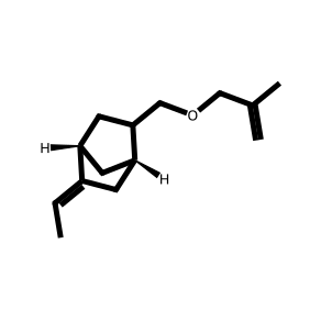 C=C(C)COCC1C[C@@H]2C[C@H]1CC2=CC